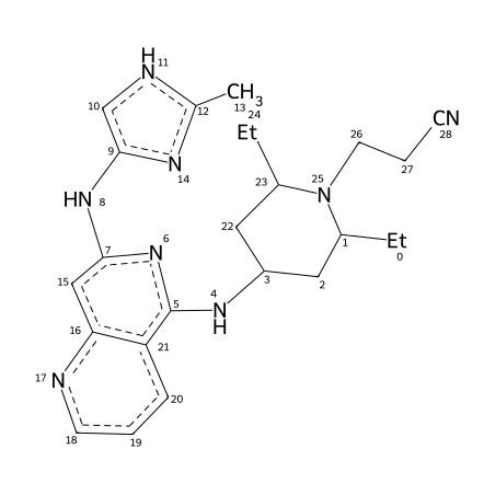 CCC1CC(Nc2nc(Nc3c[nH]c(C)n3)cc3ncccc23)CC(CC)N1CCC#N